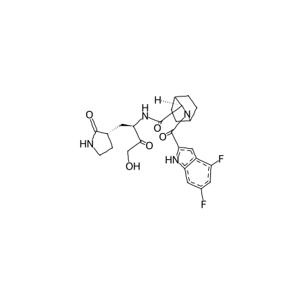 O=C1NCC[C@H]1C[C@@H](NC(=O)[C@H]1C2CCC(CC2)N1C(=O)c1cc2c(F)cc(F)cc2[nH]1)C(=O)CO